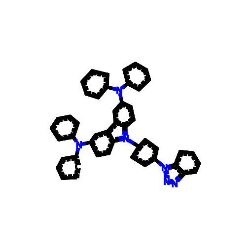 c1ccc(N(c2ccccc2)c2ccc3c(c2)c2cc(N(c4ccccc4)c4ccccc4)ccc2n3-c2ccc(-n3nnc4ccccc43)cc2)cc1